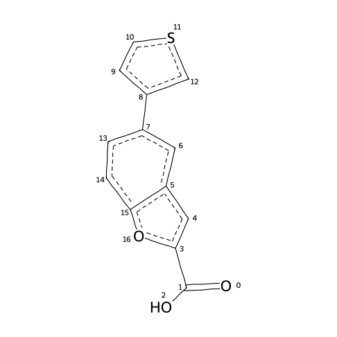 O=C(O)c1cc2cc(-c3ccsc3)ccc2o1